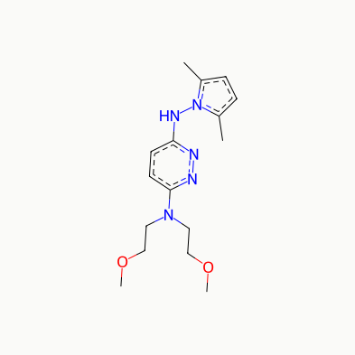 COCCN(CCOC)c1ccc(Nn2c(C)ccc2C)nn1